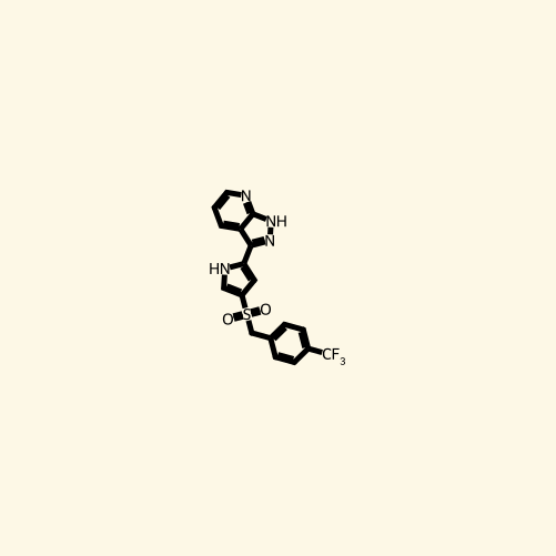 O=S(=O)(Cc1ccc(C(F)(F)F)cc1)c1c[nH]c(-c2n[nH]c3ncccc23)c1